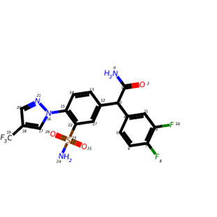 NC(=O)C(c1ccc(F)c(F)c1)c1ccc(-n2cc(C(F)(F)F)cn2)c(S(N)(=O)=O)c1